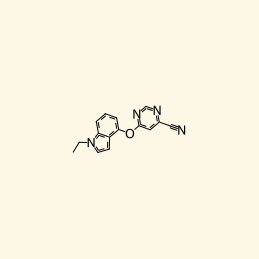 CCn1ccc2c(Oc3cc(C#N)ncn3)cccc21